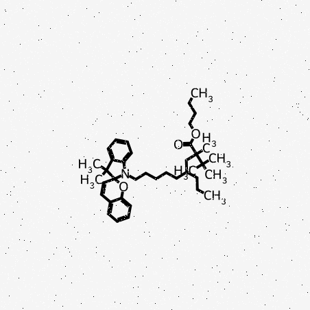 CCCCOC(=O)C(C)(CC(CCC)CCCCCN1c2ccccc2C(C)(C)C12C=Cc1ccccc1O2)C(C)(C)C